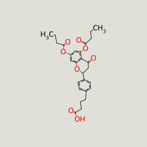 CCCC(=O)Oc1cc(OC(=O)CCC)c2c(c1)OC(c1ccc(CCCC(=O)O)cc1)CC2=O